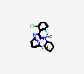 CC(=O)N(c1c(-c2c(F)cccc2Cl)nc2cccc(C)n12)C1CCCCC1